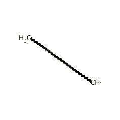 [CH]=CCCCCCCCCCCCCCCCCCCCCCCCCCCCCCCCCCCCCCCCCCC